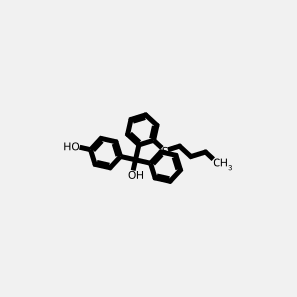 CCCCSc1ccccc1C(O)(c1ccccc1)c1ccc(O)cc1